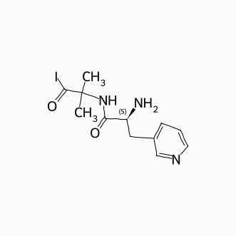 CC(C)(NC(=O)[C@@H](N)Cc1cccnc1)C(=O)I